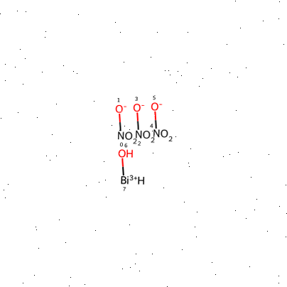 O=[N+]([O-])[O-].O=[N+]([O-])[O-].O=[N+]([O-])[O-].[OH][BiH+3]